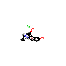 COC12[C@@H](C)CC(=O)C[C@@]13CCN(CC1CC1)[C@@H]2Cc1ccc(O)cc13.Cl